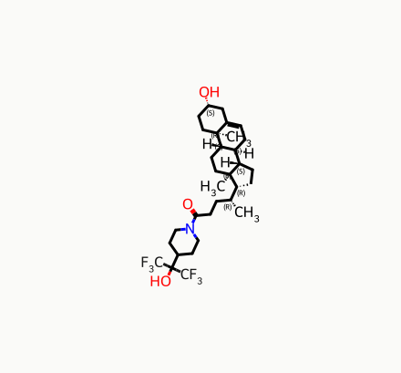 C[C@H](CCC(=O)N1CCC(C(O)(C(F)(F)F)C(F)(F)F)CC1)[C@H]1CC[C@H]2[C@@H]3CC=C4C[C@@H](O)CC[C@]4(C)[C@H]3CC[C@]12C